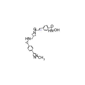 Cn1cc(-c2ccc(C3CC3NCC3CN(C(=O)/C=C/c4ccc(C(=O)NO)cc4)C3)cc2)cn1